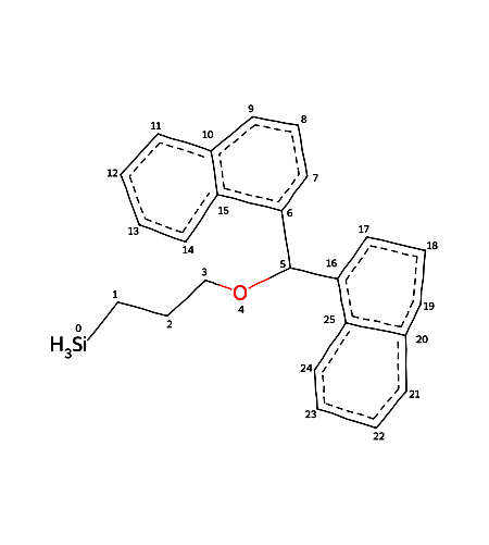 [SiH3]CCCOC(c1cccc2ccccc12)c1cccc2ccccc12